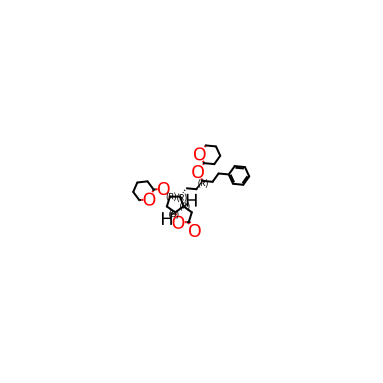 O=C1C[C@@H]2[C@@H](CC[C@H](CCc3ccccc3)OC3CCCCO3)[C@H](OC3CCCCO3)C[C@@H]2O1